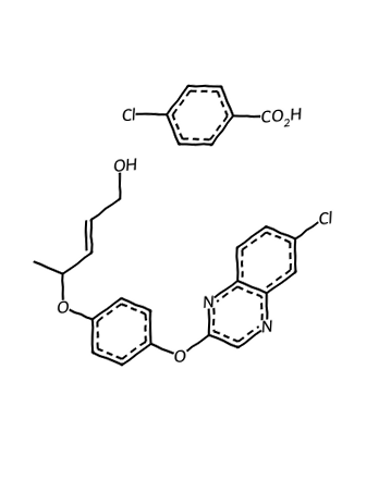 CC(C=CCO)Oc1ccc(Oc2cnc3cc(Cl)ccc3n2)cc1.O=C(O)c1ccc(Cl)cc1